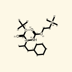 CC(CC1CCCCC1)N(NC(=O)OCC[Si](C)(C)C)C(=O)OC(C)(C)C